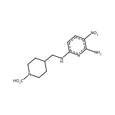 Nc1nc(NCC2CCN(C(=O)O)CC2)ccc1[N+](=O)[O-]